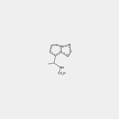 CC(NC(=O)O)c1cccn2nccc12